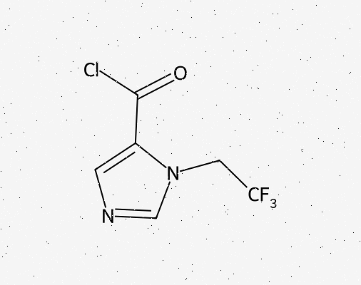 O=C(Cl)c1cncn1CC(F)(F)F